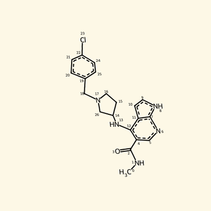 CNC(=O)c1cnc2[nH]ccc2c1NC1CCN(Cc2ccc(Cl)cc2)C1